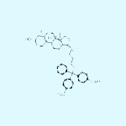 COc1ccc(C(OCCC[C@@H](C)[C@H]2CC[C@H]3[C@@H]4CC[C@@H]5C[C@H](O)CC[C@]5(C)C4CC[C@]23C)(c2ccccc2)c2ccc(OC)cc2)cc1